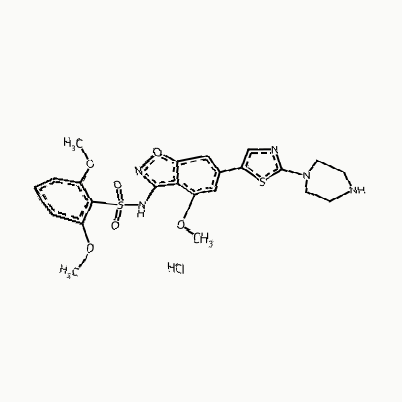 COc1cccc(OC)c1S(=O)(=O)Nc1noc2cc(-c3cnc(N4CCNCC4)s3)cc(OC)c12.Cl